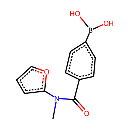 CN(C(=O)c1ccc(B(O)O)cc1)c1ccco1